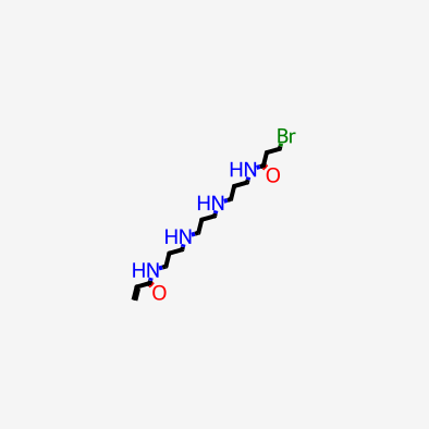 C=CC(=O)NCCCNCCCNCCCNC(=O)CCBr